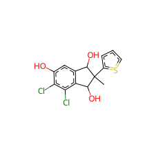 CC1(c2cccs2)C(O)c2cc(O)c(Cl)c(Cl)c2C1O